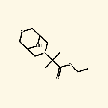 CCOC(=O)C(C)(C)N1CC2COCC(C1)N2